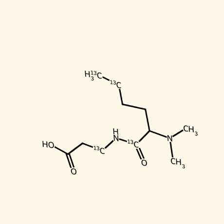 CN(C)C(CC[13CH2][13CH3])[13C](=O)N[13CH2]CC(=O)O